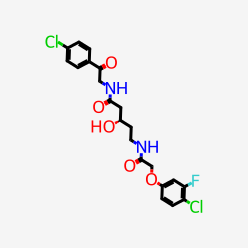 O=C(COc1ccc(Cl)c(F)c1)NCC[C@@H](O)CC(=O)NCC(=O)c1ccc(Cl)cc1